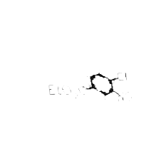 CCOC(=O)c1ccc(Cl)c(N=O)c1